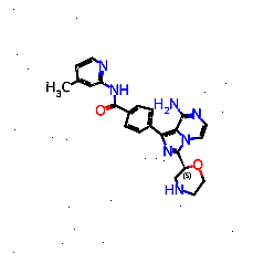 Cc1ccnc(NC(=O)c2ccc(-c3nc([C@@H]4CNCCO4)n4ccnc(N)c34)cc2)c1